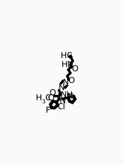 C#CCNC(=O)CCCC(=O)N1CCN(CC2=C(C(=O)OC)C(c3ccc(F)cc3Cl)N=C(c3ccccn3)N2)CC1